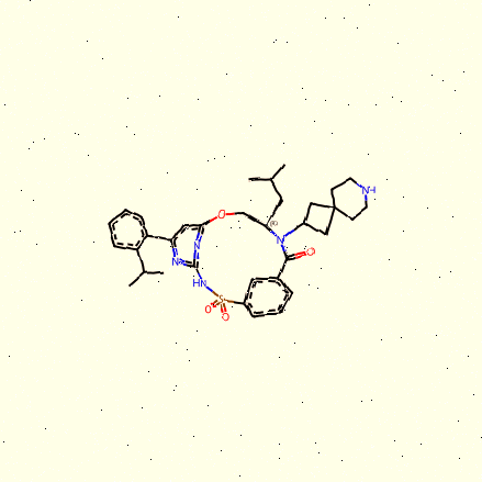 CC(C)C[C@@H]1COc2cc(-c3ccccc3C(C)C)nc(n2)NS(=O)(=O)c2cccc(c2)C(=O)N1C1CC2(CCNCC2)C1